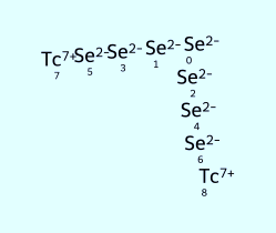 [Se-2].[Se-2].[Se-2].[Se-2].[Se-2].[Se-2].[Se-2].[Tc+7].[Tc+7]